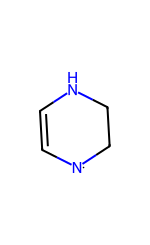 C1=CNCC[N]1